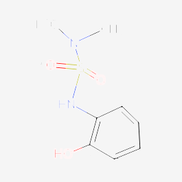 CN(C)S(=O)(=O)Nc1ccc[c]c1O